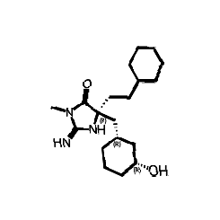 CN1C(=N)N[C@](CCC2CCCCC2)(C[C@H]2CCC[C@@H](O)C2)C1=O